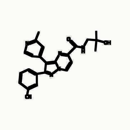 Cc1cc(-c2c(-c3cccc(C#N)c3)nn3ccc(C(=O)NCC(C)(C)O)nc23)ccn1